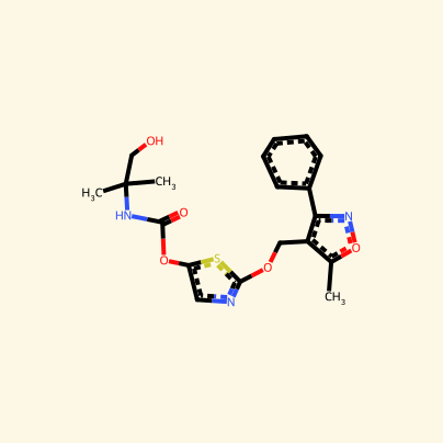 Cc1onc(-c2ccccc2)c1COc1ncc(OC(=O)NC(C)(C)CO)s1